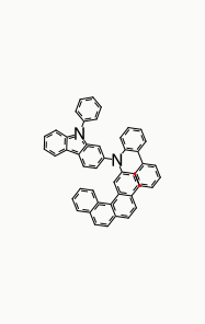 c1ccc(-c2ccccc2N(c2ccc3ccc4ccc5ccccc5c4c3c2)c2ccc3c4ccccc4n(-c4ccccc4)c3c2)cc1